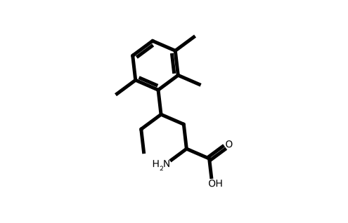 CCC(CC(N)C(=O)O)c1c(C)ccc(C)c1C